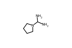 NC(N)N1CCCC1